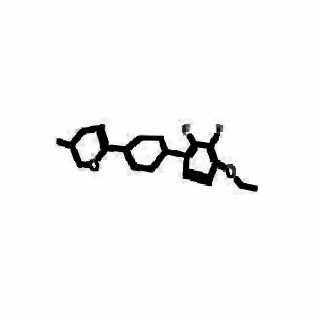 CCOc1ccc(C2CCC(C3=CCC(C)CO3)CC2)c(F)c1F